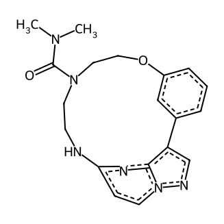 CN(C)C(=O)N1CCNc2ccn3ncc(c3n2)-c2cccc(c2)OCC1